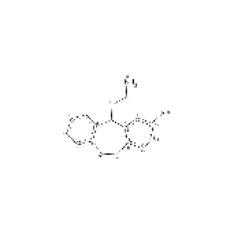 NCCC1c2ccccc2CCc2ccc(F)cc21